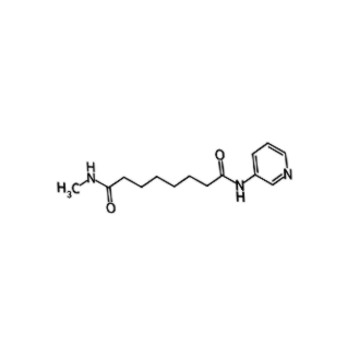 CNC(=O)CCCCCCC(=O)Nc1cccnc1